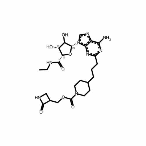 CCNC(=O)[C@H]1O[C@@H](n2cnc3c(N)nc(CCCC4CCN(C(=O)OCC5CNC5=O)CC4)nc32)C(O)[C@H]1O